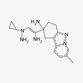 Cc1ccc2c3c(nn2c1)CCC(N)(/C(N)=C/N(N)C1CC1)C3